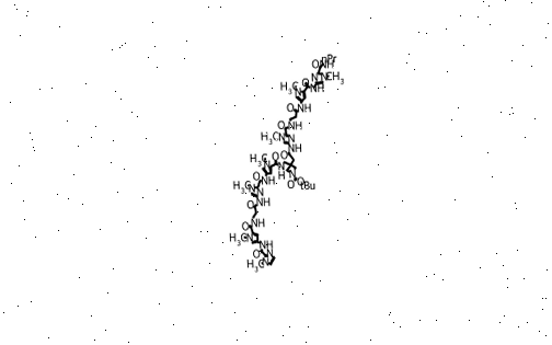 CCCNC(=O)c1nc(NC(=O)c2cc(NC(=O)CCNC(=O)c3nc(NC(=O)CC4(CNC(=O)c5cc(NC(=O)c6nc(NC(=O)CCNC(=O)c7cc(NC(=O)c8nccn8C)cn7C)cn6C)cn5C)CN(C(=O)OC(C)(C)C)C4)cn3C)cn2C)cn1C